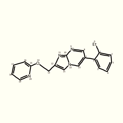 CCc1ccccc1-c1cnc2nc(COc3ccccn3)cn2c1